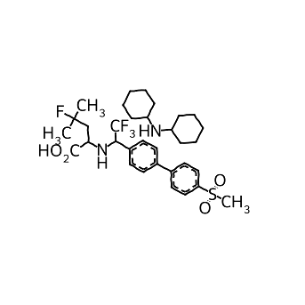 C1CCC(NC2CCCCC2)CC1.CC(C)(F)CC(NC(c1ccc(-c2ccc(S(C)(=O)=O)cc2)cc1)C(F)(F)F)C(=O)O